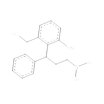 CC(C)N(CCC(c1ccccc1)c1c(O)cccc1CO)C(C)C